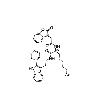 CC(=O)CCCCC[C@H](NC(=O)Cn1c(=O)oc2ccccc21)C(=O)NCCc1c(-c2ccccc2)[nH]c2ccccc12